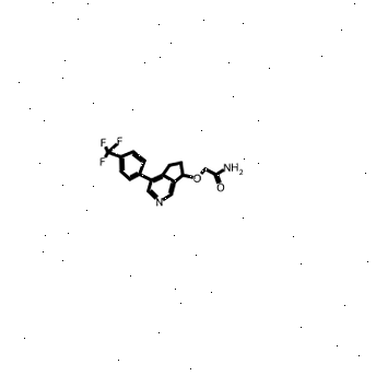 NC(=O)COC1CCc2c(-c3ccc(C(F)(F)F)cc3)cncc21